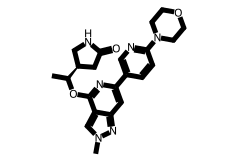 CC(Oc1nc(-c2ccc(N3CCOCC3)nc2)cc2nn(C)cc12)[C@H]1CNC(=O)C1